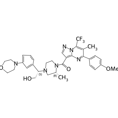 COc1ccc(-c2nc3c(C(=O)N4CCN([C@H](CO)c5cccc(N6CCOCC6)c5)C[C@H]4C)cnn3c(C(F)(F)F)c2C)cc1